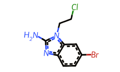 Nc1nc2ccc(Br)cc2n1CCCl